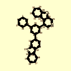 c1ccc(-c2cc(-c3ccc4c(c3)sc3ccccc34)cc(-c3cncc4oc5ccccc5c34)c2)cc1